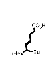 CCCCCCC(C=CCCC(=O)O)CCCC